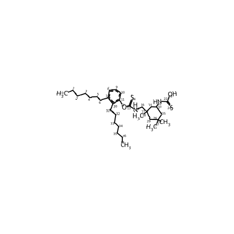 CCCCCCCc1cccc(OC(=S)NCC2(C)CC(NC(O)=S)CC(C)(C)C2)c1CCCCCCC